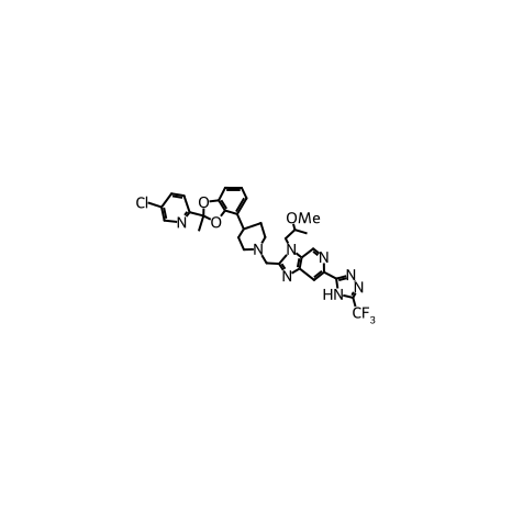 COC(C)Cn1c(CN2CCC(c3cccc4c3OC(C)(c3ccc(Cl)cn3)O4)CC2)nc2cc(-c3nnc(C(F)(F)F)[nH]3)ncc21